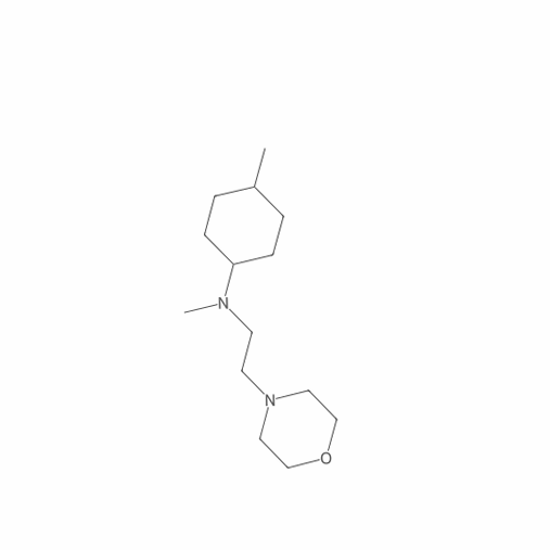 CC1CCC(N(C)CCN2CCOCC2)CC1